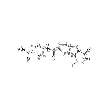 CC1CNC(=O)c2cc3ccc(C(=O)Nc4ccc(C(N)=O)nc4)cc3n21